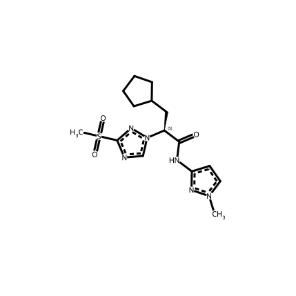 Cn1ccc(NC(=O)[C@H](CC2CCCC2)n2cnc(S(C)(=O)=O)n2)n1